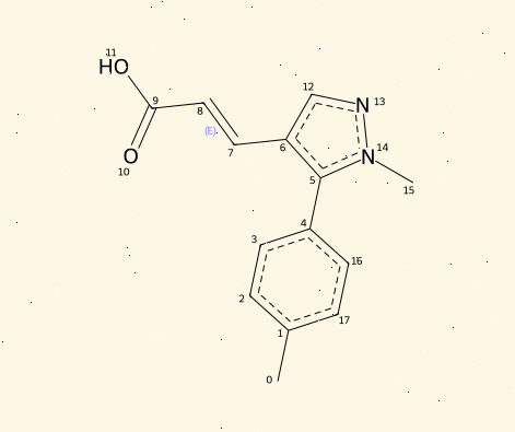 Cc1ccc(-c2c(/C=C/C(=O)O)cnn2C)cc1